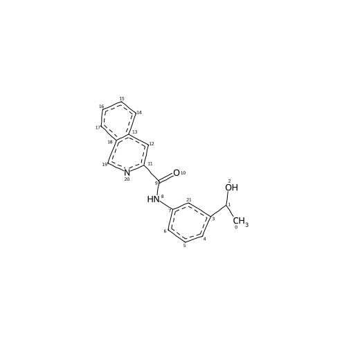 CC(O)c1cccc(NC(=O)c2cc3ccccc3cn2)c1